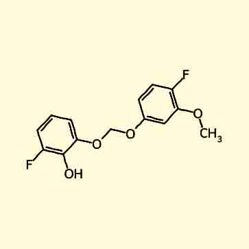 COc1cc(OCOc2cccc(F)c2O)ccc1F